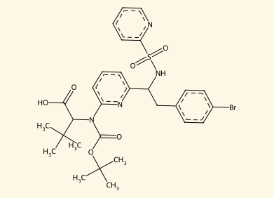 CC(C)(C)OC(=O)N(c1cccc(C(Cc2ccc(Br)cc2)NS(=O)(=O)c2ccccn2)n1)C(C(=O)O)C(C)(C)C